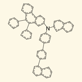 c1ccc(-c2c(-c3ccccc3)c3cc(N(c4ccc(-c5ccc(-c6cccc7ccccc67)cc5)cc4)c4ccc5ccccc5c4)ccc3c3ccccc23)cc1